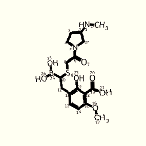 CNC1CCN(C(=O)CSC(Cc2ccc(OC)c(C(=O)O)c2O)B(O)O)C1